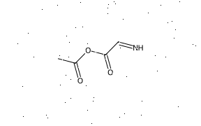 CC(=O)OC(=O)C=N